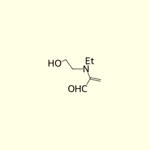 C=C(C=O)N(CC)CCO